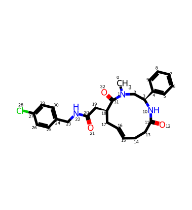 CN1C[C@@H](c2ccccc2)NC(=O)CC/C=C/C[C@@H](CC(=O)NCc2ccc(Cl)cc2)C1=O